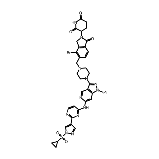 CC(C)n1nc(N2CCN(Cc3ccc4c(c3Br)CN(C3CCC(=O)NC3=O)C4=O)CC2)c2cnc(Nc3ccnc(-c4cnn(S(=O)(=O)C5CC5)c4)n3)cc21